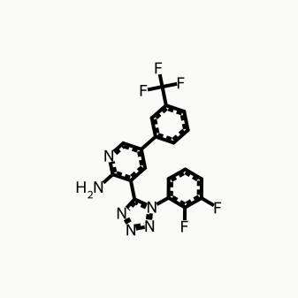 Nc1ncc(-c2cccc(C(F)(F)F)c2)cc1-c1nnnn1-c1cccc(F)c1F